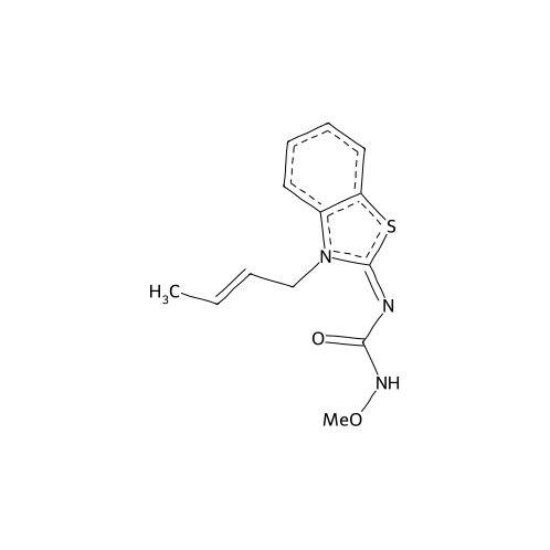 CC=CCn1c(=NC(=O)NOC)sc2ccccc21